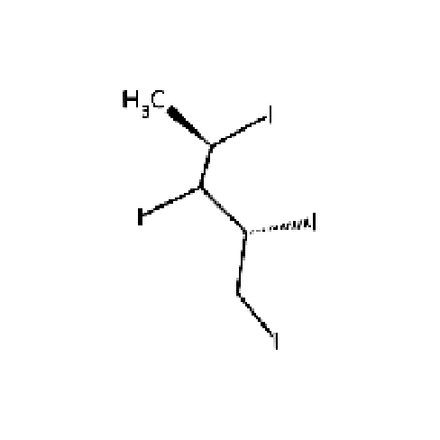 C[C@@H](I)C(I)[C@H](I)CI